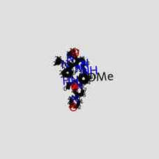 C=CC(=O)Nc1cc(Nc2ncc(-c3ncco3)c(-c3cn(C4CC4)c4ccccc34)n2)c(OC)cc1N1CCC(N2CCOCC2)CC1